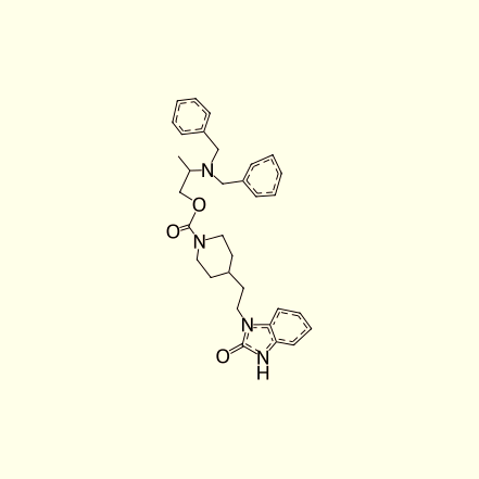 CC(COC(=O)N1CCC(CCn2c(=O)[nH]c3ccccc32)CC1)N(Cc1ccccc1)Cc1ccccc1